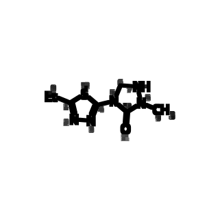 CCc1nnc(N2CNN(C)C2=O)s1